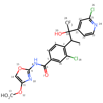 CC(c1ccc(C(=O)Nc2nc(OC(=O)O)co2)cc1Cl)C(O)(c1ccnc(Cl)c1)C(F)(F)F